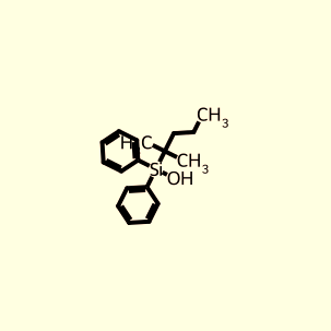 CCCC(C)(C)[Si](O)(c1ccccc1)c1ccccc1